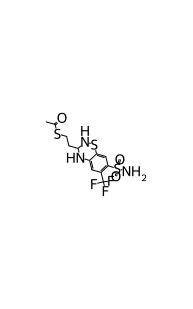 CC(=O)SCCC1NSc2cc(S(N)(=O)=O)c(C(F)(F)F)cc2N1